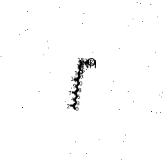 CC(C)=CCC/C(C)=C/CC/C(C)=C/CSCC(C)NC=O